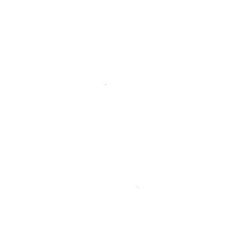 O=c1ccc(C#Cc2c(F)ccc(NS(=O)(=O)c3cc(Cl)ccc3Cl)c2F)c[nH]1